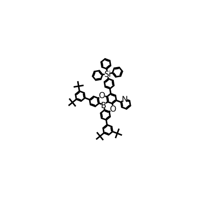 CC(C)(C)c1cc(-c2ccc3c(c2)Oc2c(-c4ccc([Si](c5ccccc5)(c5ccccc5)c5ccccc5)cc4)cc(-c4ccccn4)c4c2B3c2ccc(-c3cc(C(C)(C)C)cc(C(C)(C)C)c3)cc2O4)cc(C(C)(C)C)c1